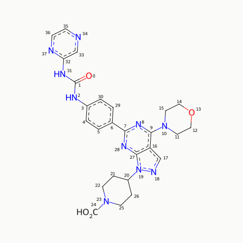 O=C(Nc1ccc(-c2nc(N3CCOCC3)c3cnn(C4CCN(C(=O)O)CC4)c3n2)cc1)Nc1cnccn1